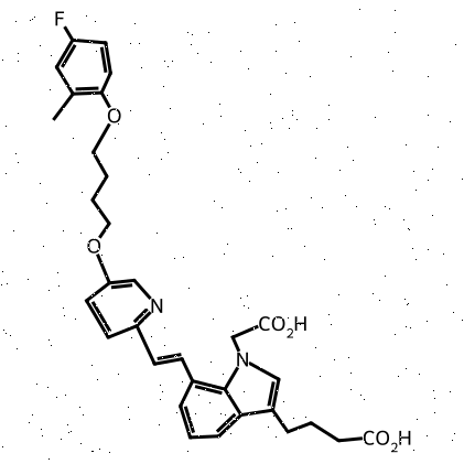 Cc1cc(F)ccc1OCCCCOc1ccc(C=Cc2cccc3c(CCCC(=O)O)cn(CC(=O)O)c23)nc1